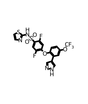 O=S(=O)(Nc1nccs1)c1cc(F)c(Oc2ccc(OC(F)(F)F)cc2-c2cn[nH]c2)cc1F